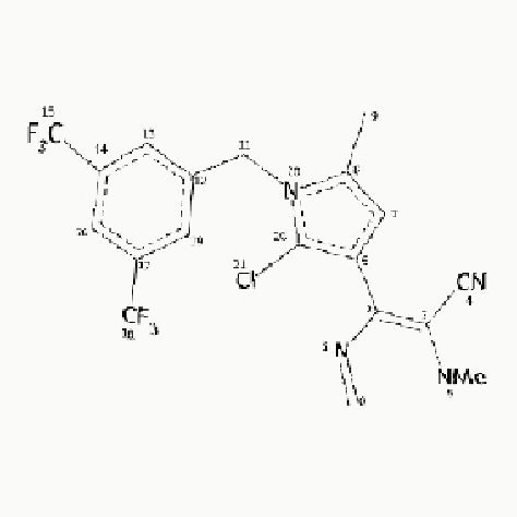 C=N/C(=C(/C#N)NC)c1cc(C)n(Cc2cc(C(F)(F)F)cc(C(F)(F)F)c2)c1Cl